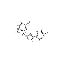 Cc1ccc(-c2ccc(Cc3cc(Br)ccc3Cl)s2)cc1